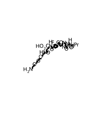 CC(C)C(=O)Nc1nc2ncc(CN(C(=O)C(F)(F)F)c3ccc(C(=O)N[C@H](CCC(=O)NCCCOCCOCCOCCCN)C(=O)O)cc3)nc2c(=O)[nH]1